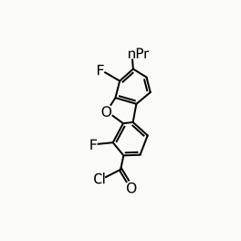 CCCc1ccc2c(oc3c(F)c(C(=O)Cl)ccc32)c1F